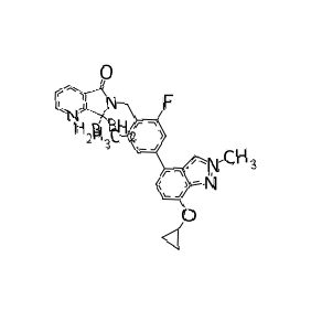 BC1(B)c2ncccc2C(=O)N1Cc1c(C)cc(-c2ccc(OC3CC3)c3nn(C)cc23)cc1F